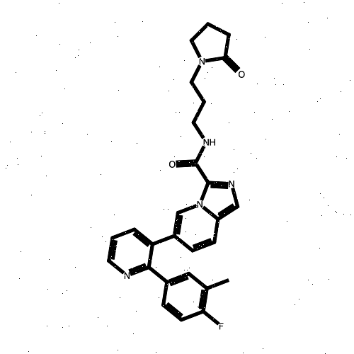 Cc1cc(-c2ncccc2-c2ccc3cnc(C(=O)NCCCN4CCCC4=O)n3c2)ccc1F